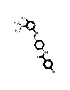 Cc1cnc(NC[C@H]2CC[C@@H](NC(=O)c3ccc(Br)cc3)CC2)nc1N(C)C